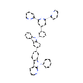 c1ccc(-n2c3cc(-c4ccc5c(c4)c4ccccc4n5-c4cccc(-c5cc(-c6ccccn6)nc(-c6ccccn6)c5)c4)ccc3c3cccnc32)cc1